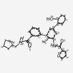 N#Cc1c(-c2cccc(C(=O)NCC3CCCN3)c2)cc(-c2ccccc2O)nc1NC(=O)c1ccco1